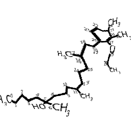 CCCCCC(C)(O)CCCC(C)CCCC(C)CCC1=CCC(C)C(C)=C1OCC